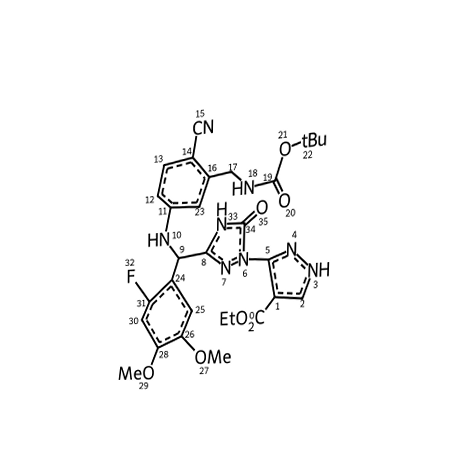 CCOC(=O)c1c[nH]nc1-n1nc(C(Nc2ccc(C#N)c(CNC(=O)OC(C)(C)C)c2)c2cc(OC)c(OC)cc2F)[nH]c1=O